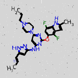 C=CCN1CCN(c2cc(Nc3cc(/C=C/C)[nH]n3)nc(Oc3cc(F)c4[nH]c(C)cc4c3F)n2)CC1